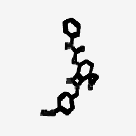 COc1ccc(Cn2[nH]c3c2[C@]2(CC[C@H]3OC(=O)Nc3ccccc3)CO2)cc1